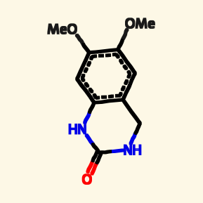 COc1cc2c(cc1OC)NC(=O)NC2